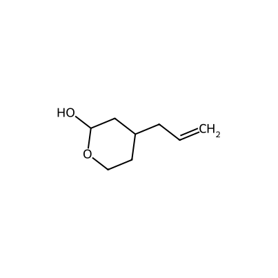 C=CCC1CCOC(O)C1